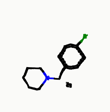 Brc1ccc(CN2CCCCC2)cc1.[Zn]